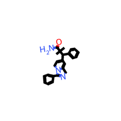 CC(C)(C(N)=O)C(C1=CCN2C(=C1)CN=C2c1ccccc1)c1ccccc1